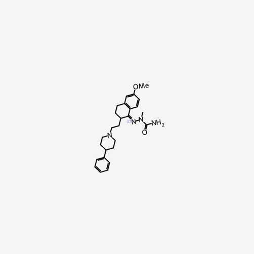 COc1ccc2c(c1)CCC(CCN1CCC(c3ccccc3)CC1)/C2=N/N(C)C(N)=O